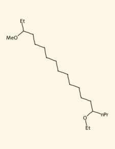 [CH2]CC(CCCCCCCCCCCC(CCC)OCC)OC